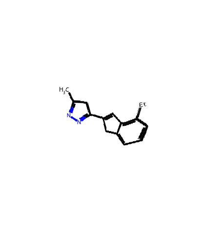 CCc1cccc2c1C=C(C1=NN=C(C)C1)C2